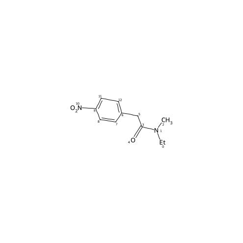 CCN(C)C(=O)Cc1ccc([N+](=O)[O-])cc1